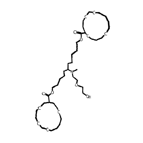 CN(CCOCCO)C(CCCCCOC(=O)C1CCCCCCCCCCCCCC1)CCCCCOC(=O)C1CCCCCCCCCCCCCC1